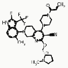 C=CC(=O)N1CCN(c2c(C#N)c(OC[C@@H]3CCCN3C)nc3c2CCN(c2c(C)ccc4[nH]c(F)c(C(F)(F)F)c24)C3)CC1